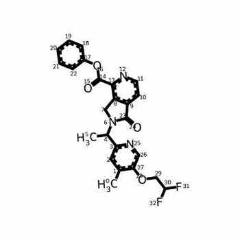 Cc1cc(C(C)N2Cc3c(ccnc3C(=O)Oc3ccccc3)C2=O)ncc1OCC(F)F